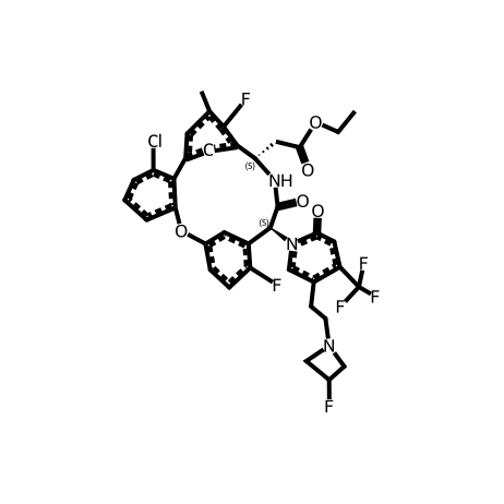 CCOC(=O)C[C@@H]1NC(=O)[C@@H](n2cc(CCN3CC(F)C3)c(C(F)(F)F)cc2=O)c2cc(ccc2F)Oc2cccc(Cl)c2-c2cc(C)c(F)c1c2